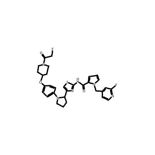 O=C(Nc1nc(C2CCCN2c2ccc(OC3CCN(C(=O)CF)CC3)cc2)cs1)c1cccn1Cc1ccnc(F)c1